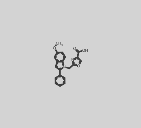 COc1ccc2c(c1)cc(-c1ccccc1)n2Cc1nc(C(=O)O)co1